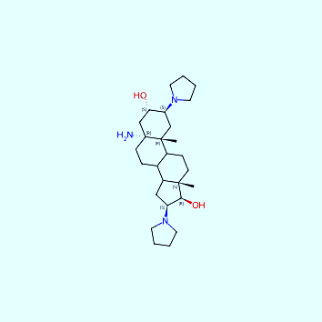 C[C@]12CCC3C(CC[C@@]4(N)C[C@H](O)[C@@H](N5CCCC5)C[C@]34C)C1C[C@H](N1CCCC1)[C@@H]2O